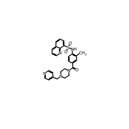 Cc1cc(C(=O)N2CCN(Cc3ccncc3)CC2)ccc1NS(=O)(=O)c1cccc2cccnc12